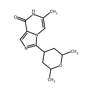 Cc1cn2c(C3CC(C)OC(C)C3)ncc2c(=O)[nH]1